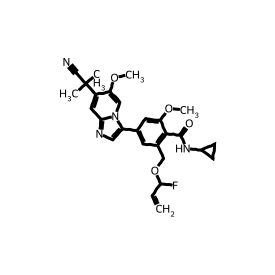 C=CC(F)OCc1cc(-c2cnc3cc(C(C)(C)C#N)c(OC)cn23)cc(OC)c1C(=O)NC1CC1